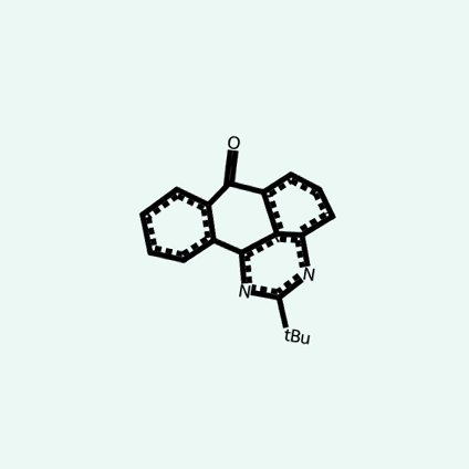 CC(C)(C)c1nc2c3c(cccc3n1)C(=O)c1ccccc1-2